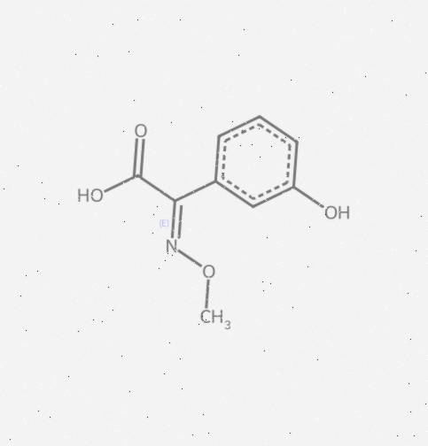 CO/N=C(/C(=O)O)c1cccc(O)c1